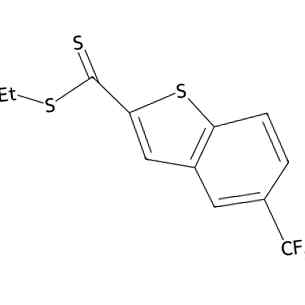 CCSC(=S)c1cc2cc(C(F)(F)F)ccc2s1